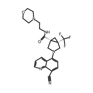 N#Cc1ccc(N2C[C@@]3(C(=O)NCCN4CCOCC4)C[C@@]3(C(F)(F)F)C2)c2cccnc12